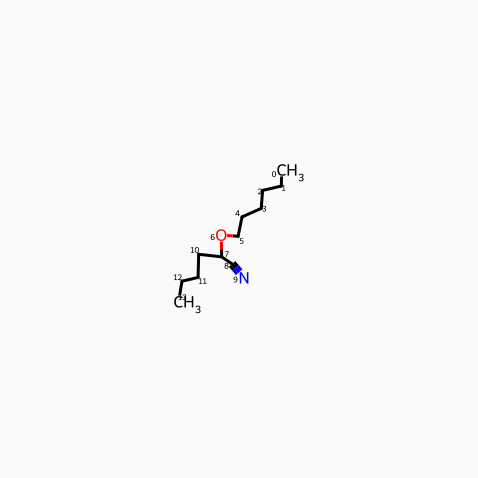 CCCCCCOC(C#N)CCCC